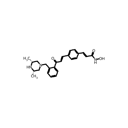 C[C@@H]1CN(Cc2ccccc2C(=O)C=Cc2ccc(C=CC(=O)NO)cc2)C[C@H](C)N1